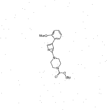 COc1ccccc1-c1cn2c(N3CCN(C(=O)OC(C)(C)C)CC3)c1-2